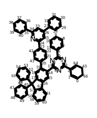 C1=CC(c2nc(-c3ccccc3)nc(-c3cc4c(cc3-c3ccc(-c5cc(-c6ccccc6)cc(-c6ccccc6)n5)cc3)C(c3ccccc3)(c3ccccc3)c3ccccc3-4)n2)=CCC1